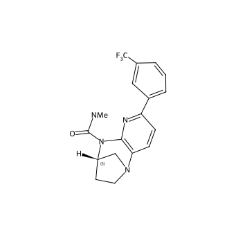 CNC(=O)N1c2nc(-c3cccc(C(F)(F)F)c3)ccc2N2CC[C@H]1C2